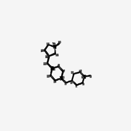 CN1CCC(CN2CCN(CC3CCN(C)C3)CC2)CC1